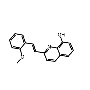 COc1ccccc1C=Cc1ccc2cccc(O)c2n1